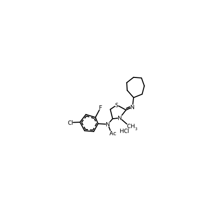 CC(=O)N(c1ccc(Cl)cc1F)C1CSC(=NC2CCCCCC2)N1C.Cl